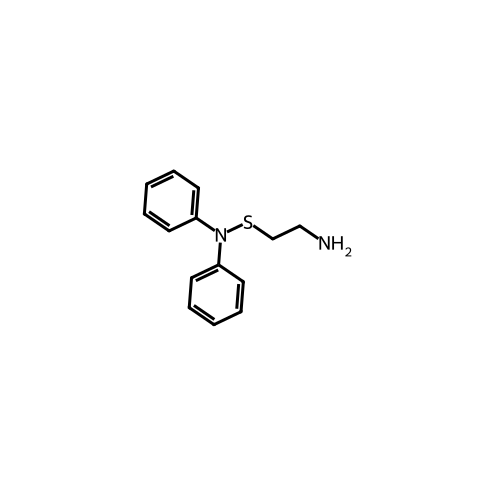 NCCSN(c1ccccc1)c1ccccc1